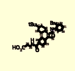 CC(C)(C)C1CCC(N2/C(=N/c3ccccc3Br)OCC2c2ccc(C(=O)NCCC(=O)O)cc2)CC1